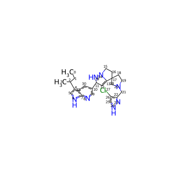 CCC(C)c1c[nH]c2ncc(C3C=C4N(CCC45CCN(Cc4n[nH]cc4Cl)C5)N3)cc12